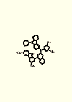 CC(C)(C)c1cc(N(c2cc(-c3cc(C(C)(C)C)cc4c3[nH]c3ccc(C(C)(C)C)cc34)c3ccccc3c2)c2ccc3c(c2)c2ccccc2n3-c2ccccc2)cc(C(C)(C)C)c1